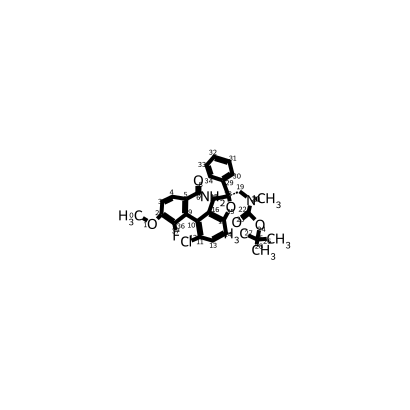 COc1ccc(C(N)=O)c(-c2c(Cl)ccc3c2C[C@@](CN(C)C(=O)OC(C)(C)C)(c2ccccc2)O3)c1F